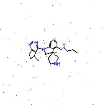 CCCNCc1cccc2c1C1(CCNCC1)CN2c1ncnc2c1C(C)CC2